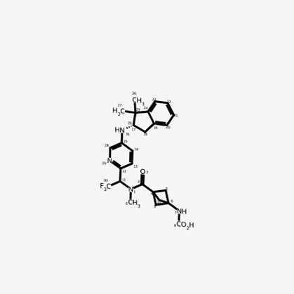 CN(C(=O)C12CC(NC(=O)O)(C1)C2)C(c1ccc(N[C@H]2Cc3ccccc3C2(C)C)cn1)C(F)(F)F